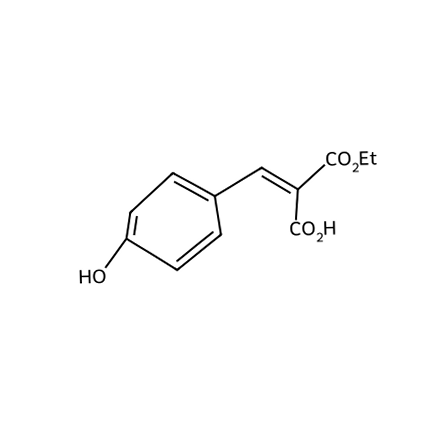 CCOC(=O)C(=Cc1ccc(O)cc1)C(=O)O